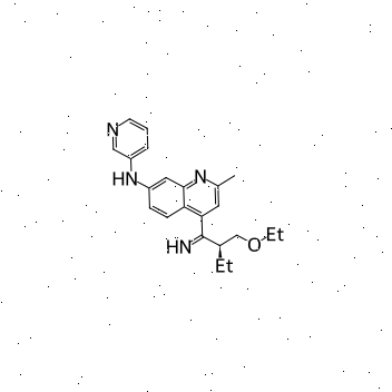 CCOC[C@@H](CC)C(=N)c1cc(C)nc2cc(Nc3cccnc3)ccc12